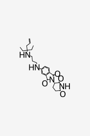 C=CCC(CC)(CC)NCCCNc1ccc2c(c1)C(=O)N(C1CCC(=O)NC1=O)C2=O